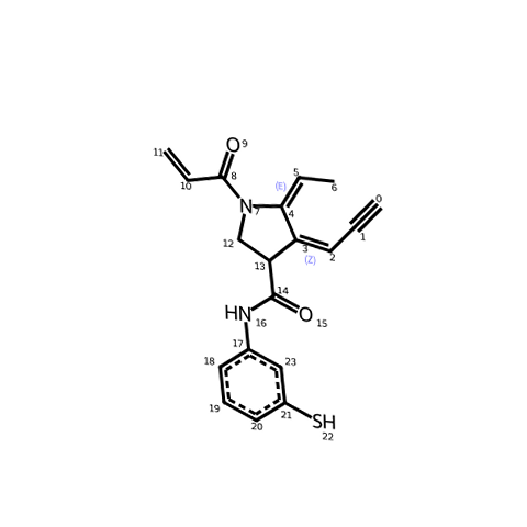 C#C/C=C1\C(=C/C)N(C(=O)C=C)CC1C(=O)Nc1cccc(S)c1